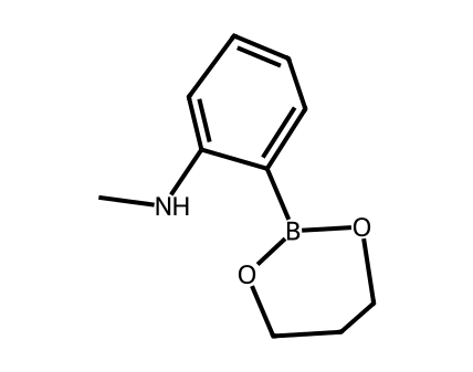 CNc1ccccc1B1OCCCO1